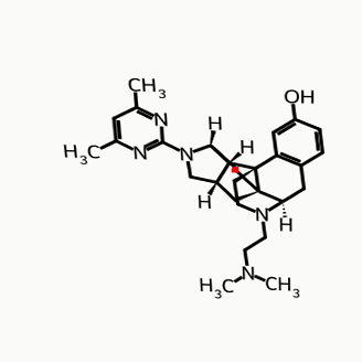 Cc1cc(C)nc(N2C[C@H]3C[C@@]45CC[C@@H]2[C@@H]3[C@@]42CCN(CCN(C)C)[C@@H]5Cc3ccc(O)cc32)n1